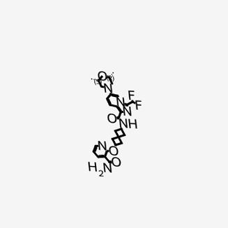 C[C@@H]1CN(c2ccc3c(C(=O)NC4CC5(C4)CC(Oc4ncccc4C(N)=O)C5)nc(C(F)F)n3c2)C[C@H](C)O1